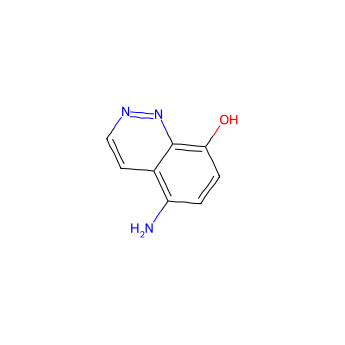 Nc1ccc(O)c2nnccc12